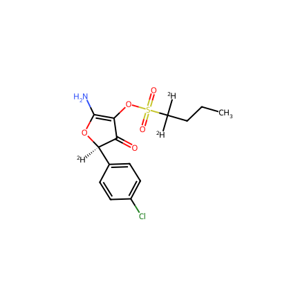 [2H]C([2H])(CCC)S(=O)(=O)OC1=C(N)O[C@]([2H])(c2ccc(Cl)cc2)C1=O